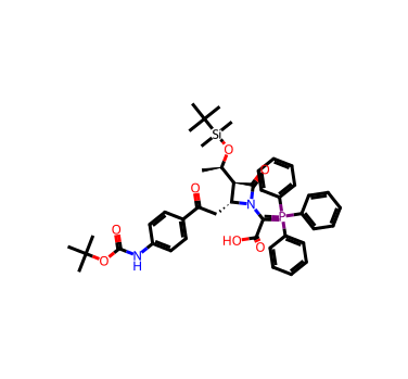 C[C@@H](O[Si](C)(C)C(C)(C)C)[C@H]1C(=O)N(C(C(=O)O)=P(c2ccccc2)(c2ccccc2)c2ccccc2)[C@@H]1CC(=O)c1ccc(NC(=O)OC(C)(C)C)cc1